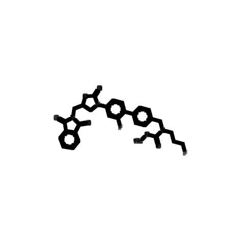 CC(C)(C)OC(=O)N(CCCF)Cc1ccc(-c2ccc(N3CC(CN4C(=O)c5ccccc5C4=O)OC3=O)cc2F)cc1